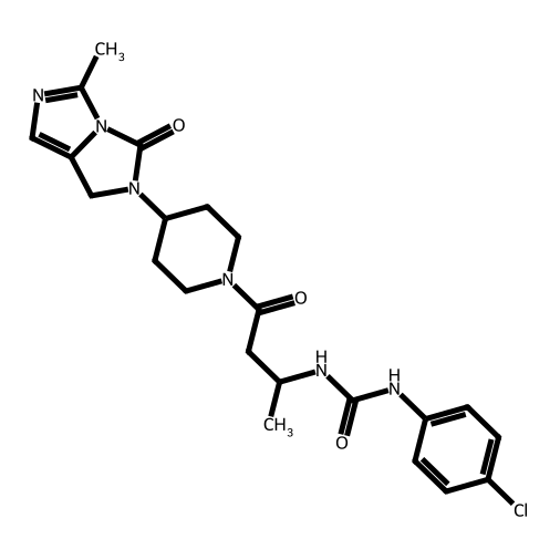 Cc1ncc2n1C(=O)N(C1CCN(C(=O)CC(C)NC(=O)Nc3ccc(Cl)cc3)CC1)C2